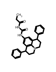 CCC(=O)NC(=O)Nc1cc2c3c(c1)C(c1ccccc1)CCN3CCC2c1ccccc1